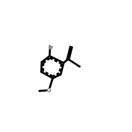 C=C(C)c1cc(OC)ccc1Br